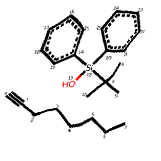 C#CCCCCCC.CC(C)(C)[Si](O)(c1ccccc1)c1ccccc1